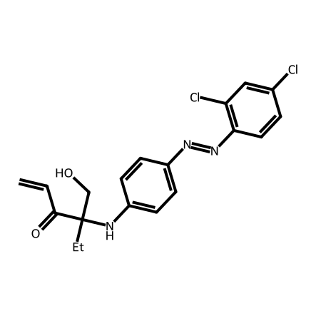 C=CC(=O)C(CC)(CO)Nc1ccc(N=Nc2ccc(Cl)cc2Cl)cc1